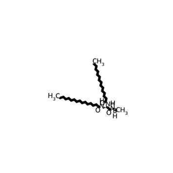 CBNC(=O)[C@H](CNC(=O)CCCCCCCCCCCCCCC)NC(=O)CCCCCCCCCCCCCCC